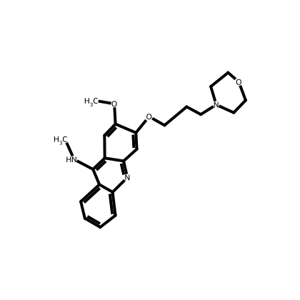 CNc1c2ccccc2nc2cc(OCCCN3CCOCC3)c(OC)cc12